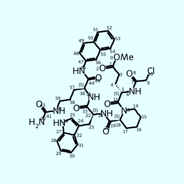 COC(=O)CC[C@H](NC(=O)CCl)C(=O)N1CCCC[C@H]1C(=O)N[C@@H](Cc1c[nH]c2ccccc12)C(=O)N[C@@H](CCCNC(N)=O)C(=O)Nc1ccc2ccccc2c1